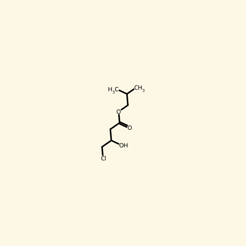 CC(C)COC(=O)CC(O)CCl